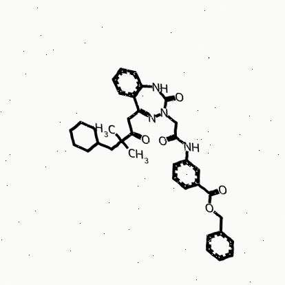 CC(C)(CC1CCCCC1)C(=O)CC1=NN(CC(=O)Nc2cccc(C(=O)OCc3ccccc3)c2)C(=O)Nc2ccccc21